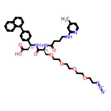 Cc1ccnc(NCCCC(=O)N[C@@H](COCCOCCOCCOCCN=[N+]=[N-])C(=O)N[C@@H](CC(=O)O)c2ccc(-c3cccc4ccccc34)cc2)c1